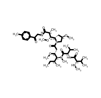 CC[C@H](C)[C@@H]([C@@H](CC(=O)N1C[C@H](OC)C[C@H]1[C@H](OC)[C@@H](C)C(=O)NCC(=O)c1ccc(C)cc1)OC)N(C)C(=O)[C@@H](NC(=O)[C@@H](NC)C(C)C)C(C)C